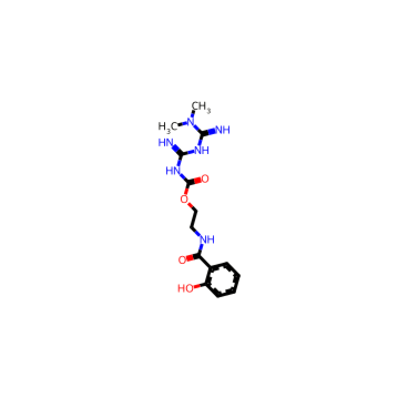 CN(C)C(=N)NC(=N)NC(=O)OCCNC(=O)c1ccccc1O